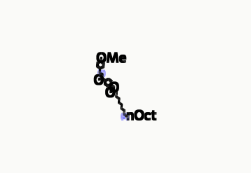 CCCCCCCC/C=C\CCCCCCCC(=O)Oc1ccc(C(=O)/C=C/c2ccc(OC)cc2)cc1